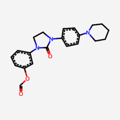 O=COc1cccc(N2CCN(c3ccc(N4CCCCC4)cc3)C2=O)c1